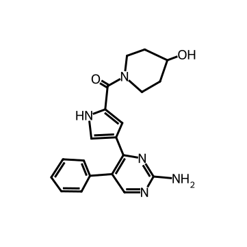 Nc1ncc(-c2ccccc2)c(-c2c[nH]c(C(=O)N3CCC(O)CC3)c2)n1